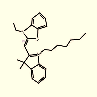 CCCCCCC[N+]1=C(/C=C2\Sc3ccccc3N2CC)C(C)(C)c2ccccc21